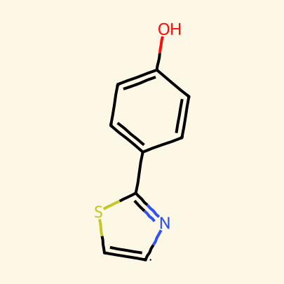 Oc1ccc(-c2n[c]cs2)cc1